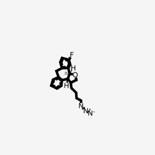 [N-]=[N+]=NCCCCC1CO[C@@H]2c3cc(F)ccc3Cc3ccccc3[C@@H]12